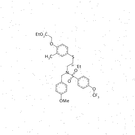 CCOC(=O)COc1ccc(S[C@H](CC)CN(Cc2ccc(OC)cc2)S(=O)(=O)c2ccc(OC(F)(F)F)cc2)cc1C